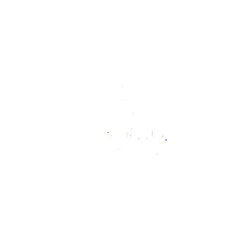 COc1ccc(S(C)(=O)=O)cc1Nc1nc2c(ccc3cnn(C)c32)s1